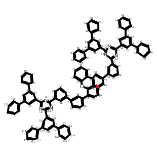 c1ccc(-c2cc(-c3ccccc3)cc(-c3nc(-c4cccc(-c5cccc(-c6ccccc6Oc6ccccc6-c6cccc(-c7cccc(-c8nc(-c9cc(-c%10ccccc%10)cc(-c%10ccccc%10)c9)nc(-c9cc(-c%10ccccc%10)cc(-c%10ccccc%10)c9)n8)c7)c6)c5)c4)nc(-c4cc(-c5ccccc5)cc(-c5ccccc5)c4)n3)c2)cc1